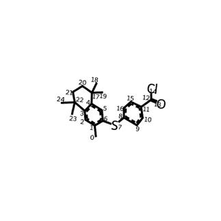 Cc1cc2c(cc1Sc1ccc(C(=O)Cl)cc1)C(C)(C)CCC2(C)C